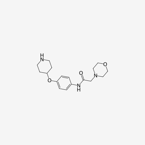 O=C(CN1CCOCC1)Nc1ccc(OC2CCNCC2)cc1